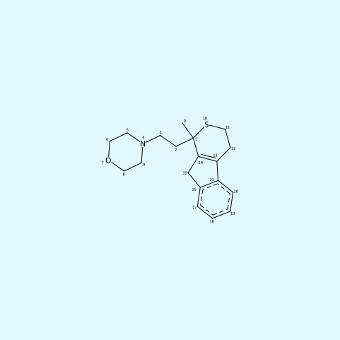 CC1(CCN2CCOCC2)SCCC2=C1Cc1ccccc12